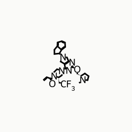 C=CC(=O)N1CCN(c2nc(OC[C@@H]3CCCN3C)nc3c2CN(C2CCc4ccccc42)C3)C[C@@H]1CC(F)(F)F